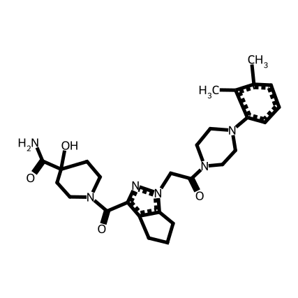 Cc1cccc(N2CCN(C(=O)Cn3nc(C(=O)N4CCC(O)(C(N)=O)CC4)c4c3CCC4)CC2)c1C